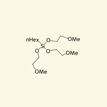 CCCCCC[Si](OCCOC)(OCCOC)OCCOC